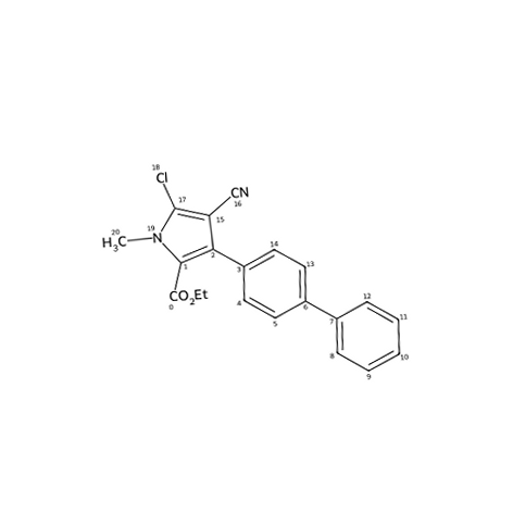 CCOC(=O)c1c(-c2ccc(-c3ccccc3)cc2)c(C#N)c(Cl)n1C